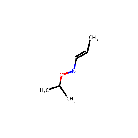 CC=C[N]OC(C)C